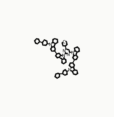 c1ccc(-c2ccc(-n3c4ccccc4c4cc(-c5ccc6c7ccccc7n(-c7cc(-c8ccccc8)nc(-n8c9ccccc9c9ccc(-c%10ccc%11c(c%10)c%10ccccc%10n%11-c%10ccc(-c%11ccccc%11)cc%10)cc98)n7)c6c5)ccc43)cc2)cc1